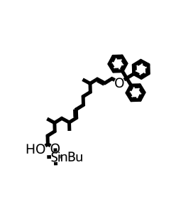 CCCC[Si](C)(C)OC(O)CCC(C)CC(C)C=CCCCC(C)C=CCOC(c1ccccc1)(c1ccccc1)c1ccccc1